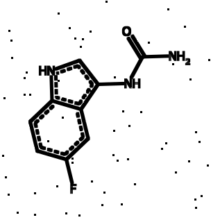 NC(=O)Nc1c[nH]c2ccc(F)cc12